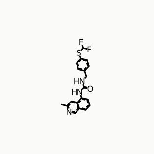 Cc1cc2c(NC(=O)NCc3ccc(SC(F)F)cc3)cccc2cn1